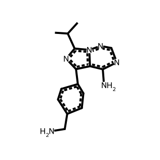 CC(C)c1nc(-c2ccc(CN)cc2)c2c(N)ncnn12